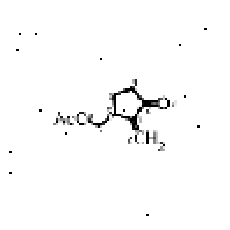 C=C1C(=O)CCC1COC(C)=O